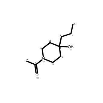 CCCC1(O)CCN(C(C)=O)CC1